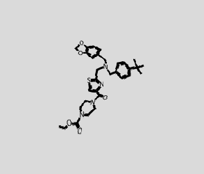 CCOC(=O)N1CCN(C(=O)c2csc(CN(Cc3ccc(C(C)(C)C)cc3)Cc3ccc4c(c3)OCO4)n2)CC1